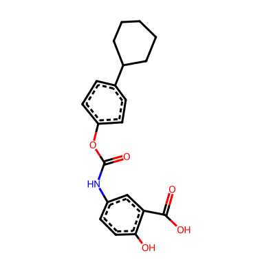 O=C(Nc1ccc(O)c(C(=O)O)c1)Oc1ccc(C2CCCCC2)cc1